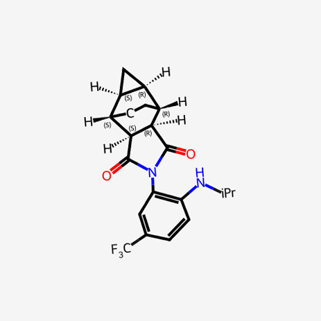 CC(C)Nc1ccc(C(F)(F)F)cc1N1C(=O)[C@@H]2[C@@H]3CC[C@@H]([C@H]4C[C@H]43)[C@@H]2C1=O